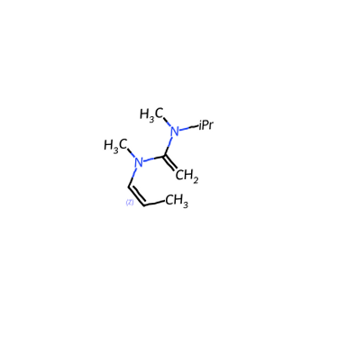 C=C(N(C)/C=C\C)N(C)C(C)C